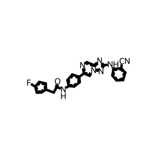 N#Cc1ccccc1Nc1nc2cnc(-c3ccc(NC(=O)Cc4ccc(F)cc4)cc3)cn2n1